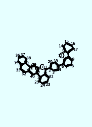 CC(c1ccc(-c2cccc3c2oc2ccccc23)cc1)c1ccccc1-c1ccc2c(ccc3ccccc32)c1